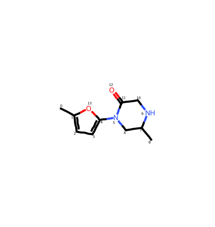 Cc1ccc(N2CC(C)NCC2=O)o1